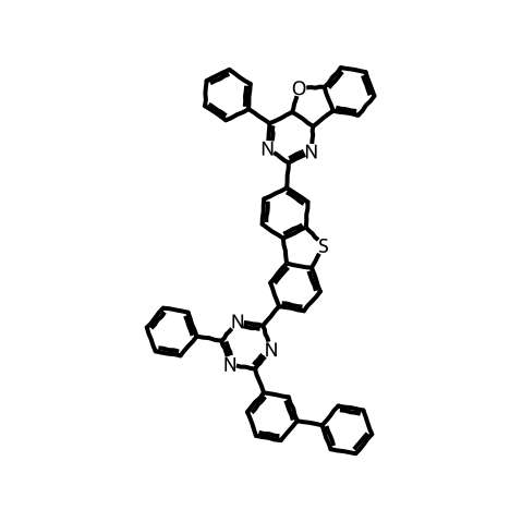 c1ccc(C2=NC(c3ccc4c(c3)sc3ccc(-c5nc(-c6ccccc6)nc(-c6cccc(-c7ccccc7)c6)n5)cc34)=NC3c4ccccc4OC23)cc1